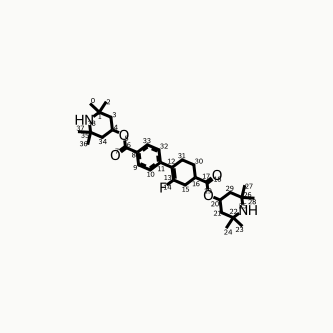 CC1(C)CC(OC(=O)c2ccc(C3=C(F)CC(C(=O)OC4CC(C)(C)NC(C)(C)C4)CC3)cc2)CC(C)(C)N1